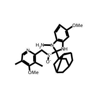 COc1ccc2c(c1)NC([S+]([O-])Cc1ncc(C)c(OC)c1C)(C13CC4CC(CC(C4)C1)C3)N2N